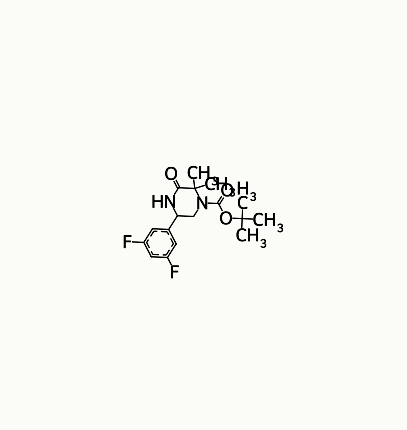 CC(C)(C)OC(=O)N1CC(c2cc(F)cc(F)c2)NC(=O)C1(C)C